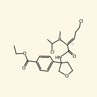 CCOC(=O)c1ccc(C2(NC(=O)/C(=C/CCCl)N(C)C(C)Cl)CCOC2)cc1